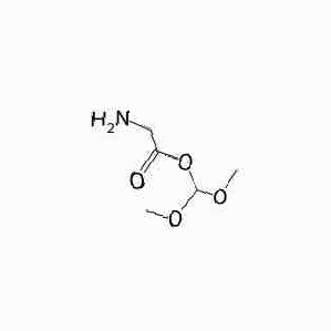 COC(OC)OC(=O)CN